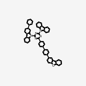 c1ccc(-c2ccc3c4ccccc4n(-c4nc(-c5ccc(-c6ccc(-c7ccc8oc9ccccc9c8c7)cc6)cc5)nc(-n5c6ccccc6c6ccccc65)n4)c3c2)cc1